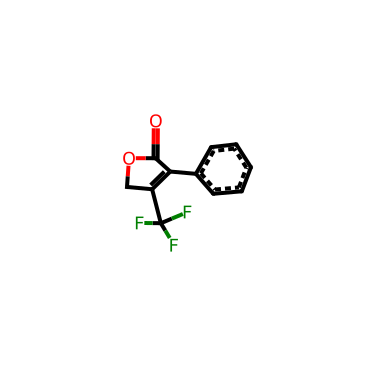 O=C1OCC(C(F)(F)F)=C1c1ccccc1